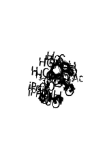 CC(=O)O[C@@]12CO[C@@H]1C[C@H](C)[C@@]1(C)C(=O)[C@H](O)C3=C(C)[C@@H](OC(=O)[C@H](O[Si](C(C)C)(C(C)C)C(C)C)[C@@H](NC(=O)c4ccco4)c4ccco4)C[C@@](O)([C@@H](OC(=O)c4ccoc4)[C@H]21)C3(C)C